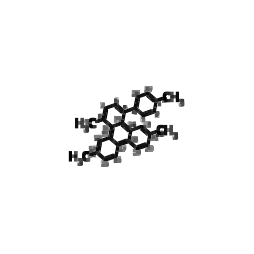 Cc1ccc(-c2ccc(C)c3c4cc(C)ccc4c4ccc(C)cc4c23)cc1